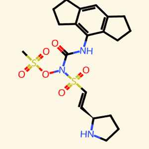 CS(=O)(=O)ON(C(=O)Nc1c2c(cc3c1CCC3)CCC2)S(=O)(=O)/C=C/[C@H]1CCCN1